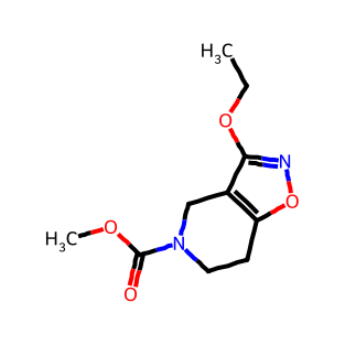 CCOc1noc2c1CN(C(=O)OC)CC2